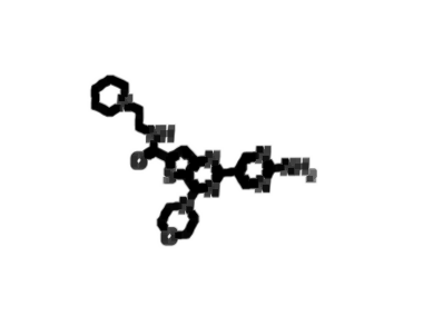 Nc1ncc(-c2nc(N3CCOCC3)c3sc(C(=O)NCCN4CCCCC4)cc3n2)cn1